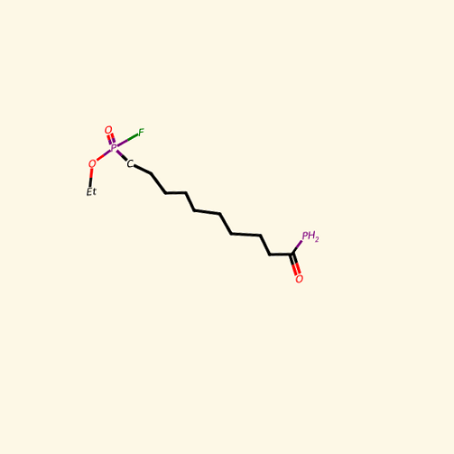 CCOP(=O)(F)CCCCCCCCCC(=O)P